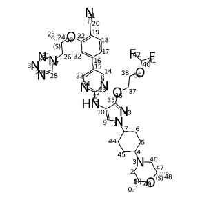 C[C@@H]1CN(C2CCC(n3cc(Nc4ncc(-c5ccc(C#N)c(O[C@@H](C)Cn6cnnn6)c5)cn4)c(OCCOC(F)F)n3)CC2)C[C@H](C)O1